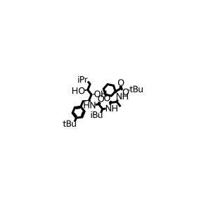 CCC(C)C(NC(=O)C(C)NC1(C(=O)OC(C)(C)C)CCCCC1)C(=O)N[C@@H](Cc1ccc(C(C)(C)C)cc1)[C@@H](O)[C@@H](O)CC(C)C